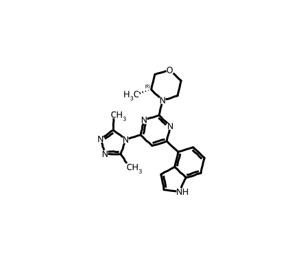 Cc1nnc(C)n1-c1cc(-c2cccc3[nH]ccc23)nc(N2CCOC[C@H]2C)n1